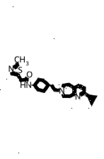 Cc1ncc(CC(=O)N[C@H]2CC[C@H](CCN3CCc4ccc(C5CC5)nc4CC3)CC2)s1